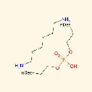 CCCCCCCCCCCCOP(=O)(O)OCCCCCCCCCCCC.NCCCCCCN